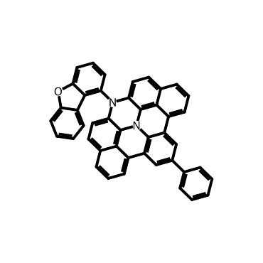 c1ccc(-c2cc3c4cccc5ccc6c(c54)n4c3c(c2)c2cccc3ccc(c4c32)n6-c2cccc3oc4ccccc4c23)cc1